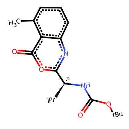 Cc1cccc2nc([C@@H](NC(=O)OC(C)(C)C)C(C)C)oc(=O)c12